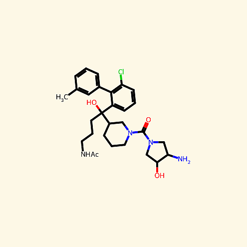 CC(=O)NCCCC(O)(c1cccc(Cl)c1-c1cccc(C)c1)C1CCCN(C(=O)N2CC(N)C(O)C2)C1